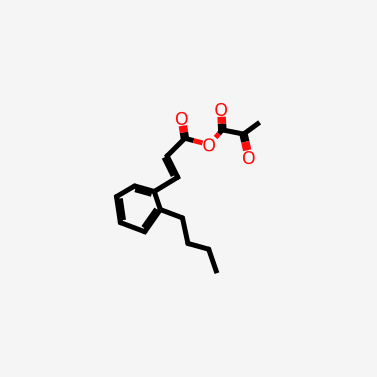 CCCCc1ccccc1C=CC(=O)OC(=O)C(C)=O